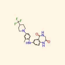 Cc1cc(N2CCC(C(F)(F)F)CC2)ccc1Nc1ccc2c(c1)C(=O)NCC(=O)N2